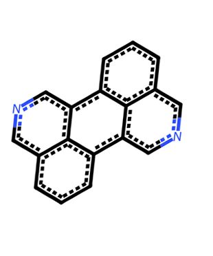 c1cc2cncc3c4cccc5cncc(c(c1)c23)c54